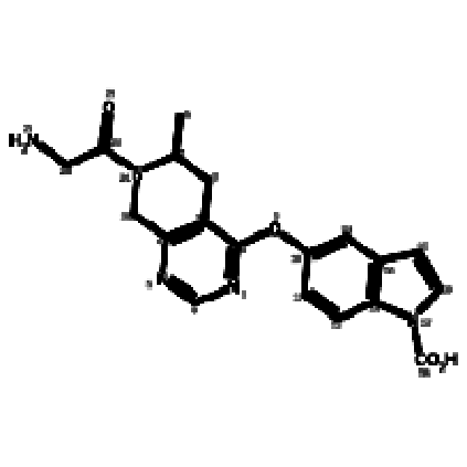 CC1Cc2c(ncnc2Oc2ccc3c(ccn3C(=O)O)c2)CN1C(=O)CN